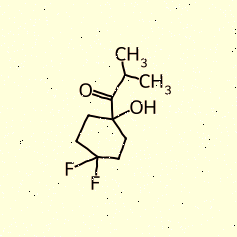 CC(C)C(=O)C1(O)CCC(F)(F)CC1